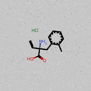 C=C[C@](N)(Cc1ccccc1C)C(=O)O.Cl